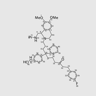 COc1cc2c(cc1OC)C(CNC(C)C)N(CCCC(CCCC(=O)CCc1ccc(F)cc1)(c1ccccc1)c1ccccc1)CC2.Cl.Cl